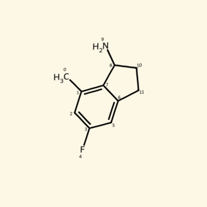 Cc1cc(F)cc2c1C(N)CC2